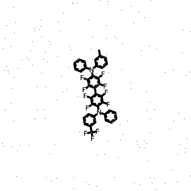 Cc1cccc(N(c2ccccc2)c2c(F)c(F)c(-c3c(F)c(F)c(N(c4ccccc4)c4cccc(C(F)(F)F)c4)c(F)c3F)c(F)c2F)c1